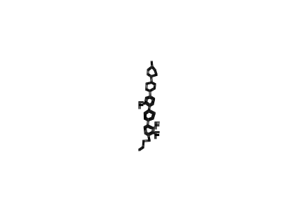 CCCCc1ccc(-c2ccc(-c3ccc(C4CCC(C5CCC(C)CC5)CC4)cc3F)cc2)c(F)c1F